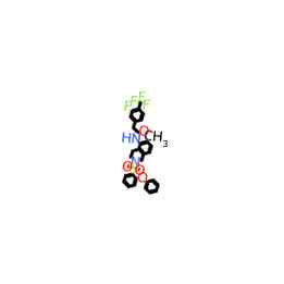 Cc1ccc2c(c1NC(=O)Cc1ccc(C(F)(F)F)c(F)c1)CCN(S(=O)(=O)c1ccccc1Oc1ccccc1)C2